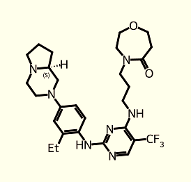 CCc1cc(N2CCN3CCC[C@H]3C2)ccc1Nc1ncc(C(F)(F)F)c(NCCCN2CCOCCC2=O)n1